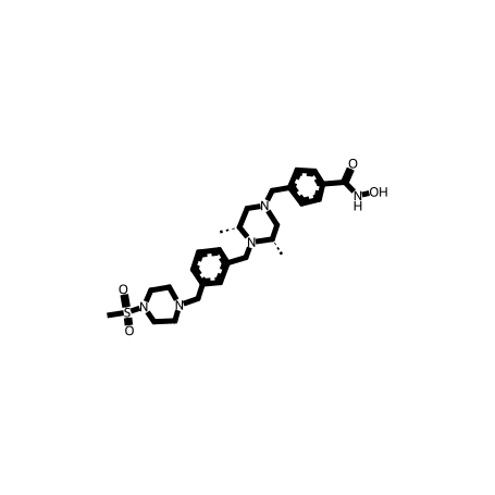 C[C@@H]1CN(Cc2ccc(C(=O)NO)cc2)C[C@H](C)N1Cc1cccc(CN2CCN(S(C)(=O)=O)CC2)c1